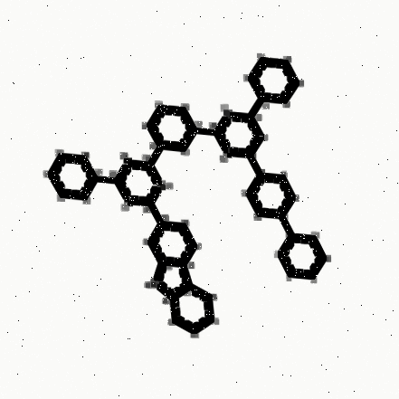 c1ccc(-c2ccc(-c3cc(-c4ccccc4)nc(-c4cccc(-c5nc(-c6ccccc6)nc(-c6ccc7c(c6)oc6ccccc67)n5)c4)n3)cc2)cc1